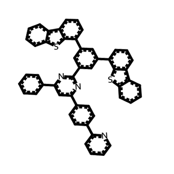 c1ccc(-c2cc(-c3ccc(-c4ccccn4)cc3)nc(-c3cc(-c4cccc5c4sc4ccccc45)cc(-c4cccc5c4sc4ccccc45)c3)n2)cc1